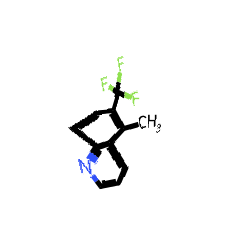 Cc1c(C(F)(F)F)ccc2ncccc12